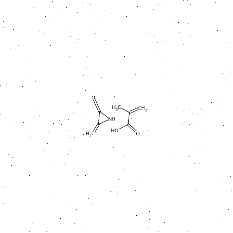 C=C(C)C(=O)O.C=C1NC1=O